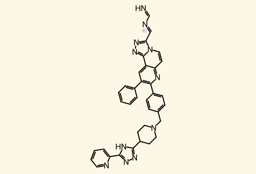 N=C/N=C/c1nnc2c3cc(-c4ccccc4)c(-c4ccc(CN5CCC(c6nnc(-c7ccccn7)[nH]6)CC5)cc4)nc3ccn12